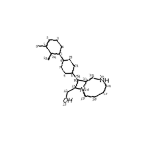 CC1CCCC(C2CCC([C@@H]3C(CO)N4CCCCNCC34)CC2)C1C